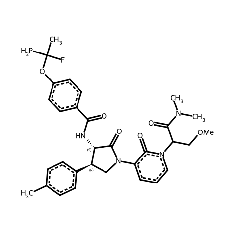 COCC(C(=O)N(C)C)n1cccc(N2C[C@@H](c3ccc(C)cc3)[C@H](NC(=O)c3ccc(OC(C)(F)P)cc3)C2=O)c1=O